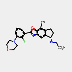 N#Cc1c2c(cc3nc(-c4cccc(N5CCOCC5)c4Cl)oc13)[C@H](NCC(=O)O)CC2